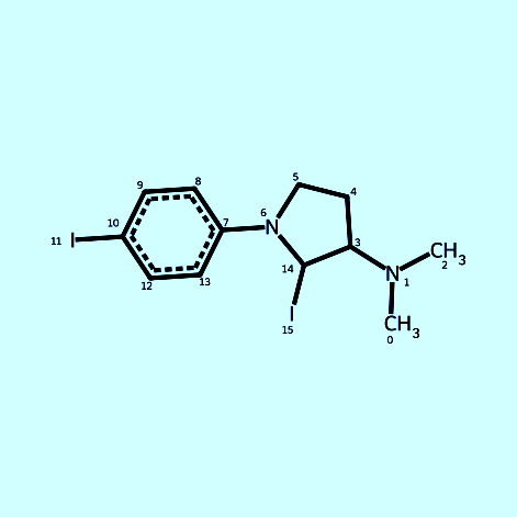 CN(C)C1CCN(c2ccc(I)cc2)C1I